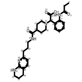 CCC(=O)Nc1ccccc1C(C(=O)O)N1CCC(C(=O)NCCCc2ccc3c(n2)NCCC3)CC1